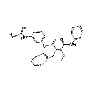 CON(C(=O)Nc1ccccc1)[C@@H](Cc1ccccc1)C(=O)Oc1cccc(NC(=N)N)c1